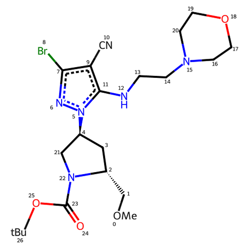 COC[C@H]1C[C@H](n2nc(Br)c(C#N)c2NCCN2CCOCC2)CN1C(=O)OC(C)(C)C